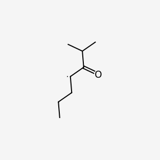 CCC[CH]C(=O)C(C)C